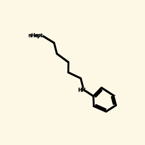 CCCCCCCCCCCCNc1c[c]ccc1